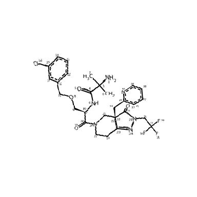 CC(C)(N)C(=O)N[C@H](COCc1cccc(Cl)c1)C(=O)N1CCC2=NN(CC(F)(F)F)C(=O)[C@@]2(Cc2ccccn2)C1